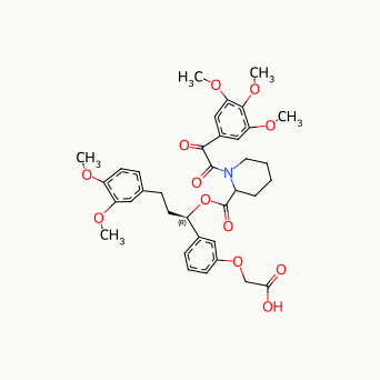 COc1ccc(CC[C@@H](OC(=O)C2CCCCN2C(=O)C(=O)c2cc(OC)c(OC)c(OC)c2)c2cccc(OCC(=O)O)c2)cc1OC